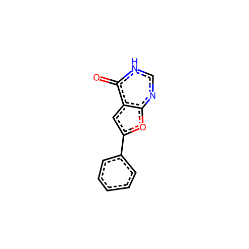 O=c1[nH]cnc2oc(-c3ccccc3)cc12